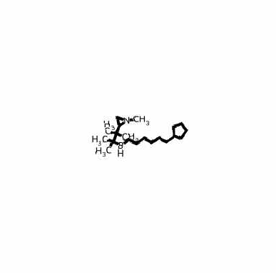 CN1CC1C(C)(C)C(C)(C)BCCCCCCC1CCCC1